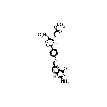 Nc1nc(=O)c2nc(CNc3ccc(C(=O)N[C@@H](CCC(=O)O[N+](=O)[O-])C(=O)O[N+](=O)[O-])cc3)cnc2[nH]1